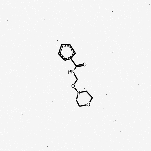 O=C(NCON1CCOCC1)c1ccccc1